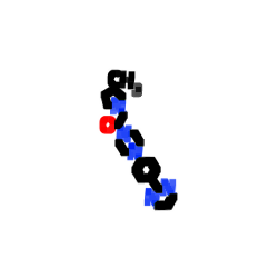 CC1CCN(CC(=O)N2CCN(c3ccc(-c4ncccn4)cc3)CC2)C1